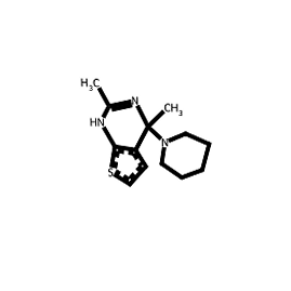 CC1=NC(C)(N2CCCCC2)c2ccsc2N1